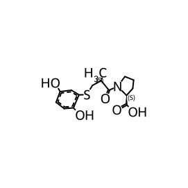 C[C@H](CSc1cc(O)ccc1O)C(=O)N1CCC[C@H]1C(=O)O